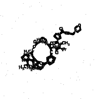 CO[C@@H](C)c1ncccc1-c1c2c3cc(ccc3n1C)-c1cccc(c1)C[C@H](NC(=O)[C@H](C(C)C)N(C)C(=O)[C@H]1CCN(C(=O)C#CCN3CCOCC3)C1)C(=O)N1CCC[C@H](N1)C(=O)OCC(C)(C)C2